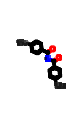 CC(C)(C)c1ccc(C(=O)[N]C(=O)c2ccc(C(C)(C)C)cc2)cc1